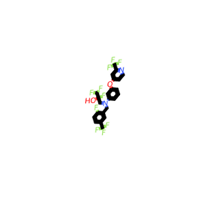 OC(F)(CN(Cc1cc(C(F)(F)F)ccc1F)c1cccc(Oc2ccnc(C(F)(F)F)c2)c1)C(F)F